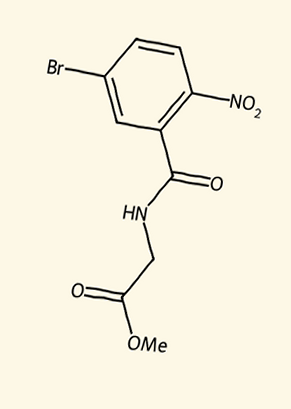 COC(=O)CNC(=O)c1cc(Br)ccc1[N+](=O)[O-]